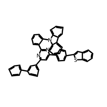 c1ccc(-c2cccc(-c3cc(-c4ccc(-c5cc6ccccc6s5)cc4)nc(-c4ccccc4-n4c5ccccc5c5ccccc54)n3)c2)cc1